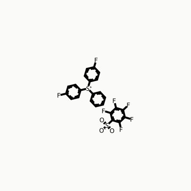 Fc1ccc([S+](c2ccccc2)c2ccc(F)cc2)cc1.O=S(=O)([O-])c1c(F)c(F)c(F)c(F)c1F